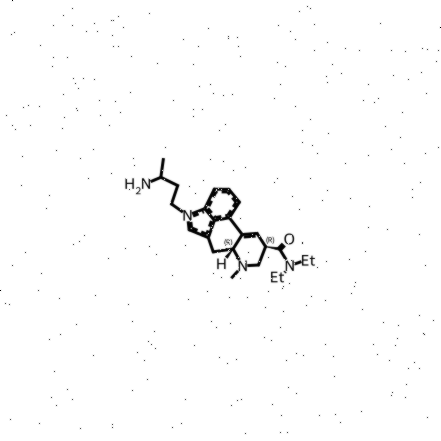 CCN(CC)C(=O)[C@@H]1C=C2c3cccc4c3c(cn4CCC(C)N)C[C@H]2N(C)C1